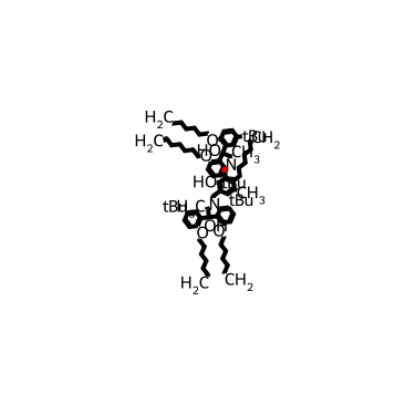 C=CCCCCCOc1ccc(C(C)(C)C)cc1C(O)(c1cc(C(C)(C)C)ccc1OCCCCCC=C)[C@@H](C)N=Cc1cc(C)c(CCCCCC=C)c(C=N[C@H](C)C(O)(c2cc(C(C)(C)C)ccc2OCCCCCC=C)c2cc(C(C)(C)C)ccc2OCCCCCC=C)c1O